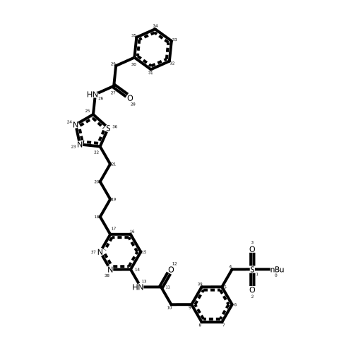 CCCCS(=O)(=O)Cc1cccc(CC(=O)Nc2ccc(CCCCc3nnc(NC(=O)Cc4ccccc4)s3)nn2)c1